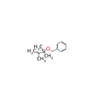 C=C(C)[Si](C)(C)OCc1ccccc1